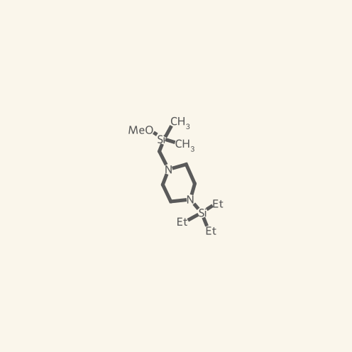 CC[Si](CC)(CC)N1CCN(C[Si](C)(C)OC)CC1